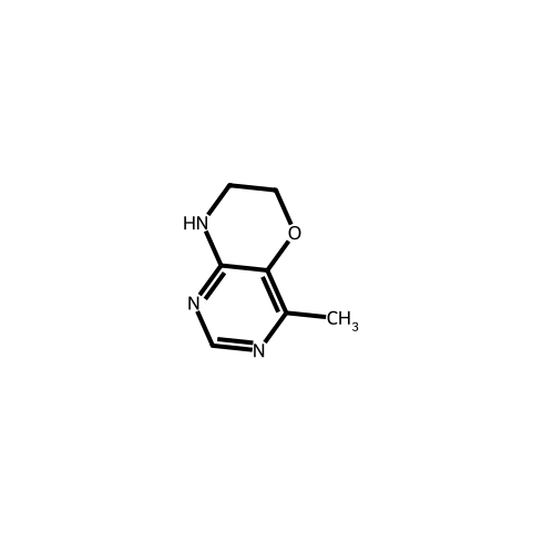 Cc1ncnc2c1OCCN2